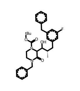 C[C@@H](Cc1cc(F)cc(Cc2ccccc2)c1)C(O)C1C(=O)N(Cc2ccccc2)CCN1C(=O)OC(C)(C)C